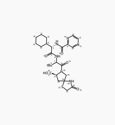 CC(C)(C)C(NC(=O)[C@@H](NC(=O)c1cnccn1)C1CCCCC1)C(=O)N1CC2(C[C@H]1C(=O)O)NC(=O)CS2